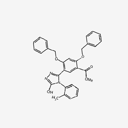 COC(=O)c1cc(-c2nnc(O)n2-c2ccccc2C)c(OCc2ccccc2)cc1OCc1ccccc1